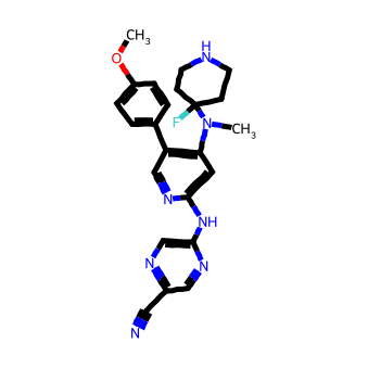 COc1ccc(-c2cnc(Nc3cnc(C#N)cn3)cc2N(C)C2(F)CCNCC2)cc1